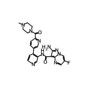 CN1CCN(C(=O)c2ccc(-c3ccncc3NC(=O)c3c(N)nn4cc(F)cnc34)cn2)CC1